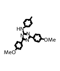 COc1ccc(-c2nc(Nc3ccc(C)cc3)nc(-c3ccc(OC)cc3)n2)cc1